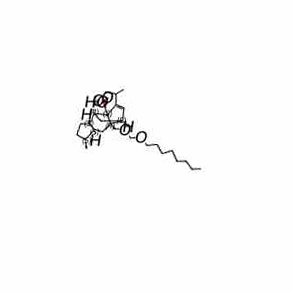 CCCCCCCCOCOC[C@]12C[C@H]3[C@@H](C)CC[C@@H]3[C@]3(C=O)C[C@H]1C=C(C(C)C)[C@]23C(=O)O